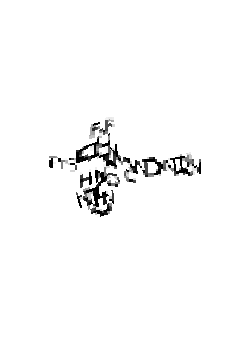 CC(C)Sc1ccc(OC(F)F)c(-c2nn(CC(=O)N3CCC(N4CCn5cncc5C4)CC3)cc2NC(=O)c2cnn3cccnc23)c1